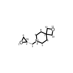 C1O[C@H]1CN1CCC2(CC1)COC2